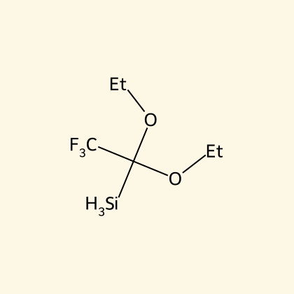 CCOC([SiH3])(OCC)C(F)(F)F